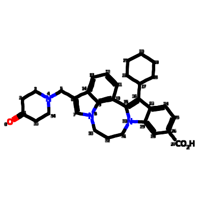 O=C1CCN(Cc2cn3c4c(cccc24)-c2c(C4CCCCC4)c4ccc(C(=O)O)cc4n2CCC3)CC1